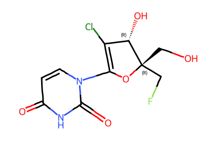 O=c1ccn(C2=C(Cl)[C@H](O)[C@](CO)(CF)O2)c(=O)[nH]1